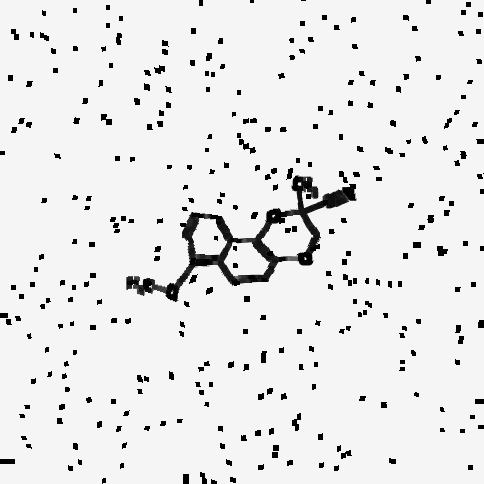 COc1cccc2c3c(ccc12)OCC(C)(C#N)O3